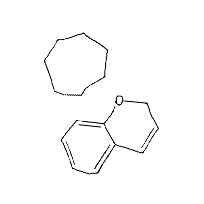 C1=Cc2ccccc2OC1.C1CCCCCC1